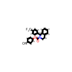 O=Nc1ccc(OC(=O)N2CCc3ccccc3C2c2ccc(C(F)(F)F)cc2)cc1